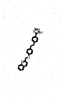 c1ccc2nc(COc3ccc(CCc4ccc(-c5nnn[nH]5)cc4)cc3)ccc2c1